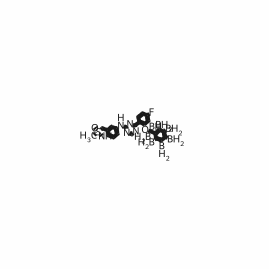 Bc1c(B)c(B)c(C(B)(B)Oc2cc(F)ccc2-c2ncnc(Nc3cccc(CS(C)(=N)=O)c3)n2)c(B)c1B